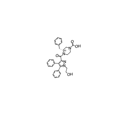 O=C(O)N1CCN(C(=O)c2nn(CCO)c(-c3ccccc3)c2-c2ccccc2)[C@H](Cc2ccccc2)C1